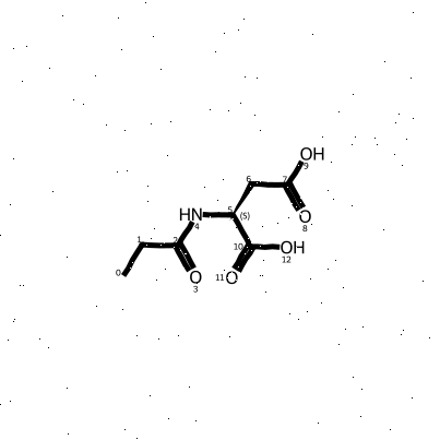 CCC(=O)N[C@@H](CC(=O)O)C(=O)O